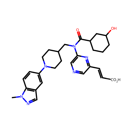 Cn1ncc2cc(N3CCC(CN(C(=O)C4CCCC(O)C4)c4cncc(C=CC(=O)O)n4)CC3)ccc21